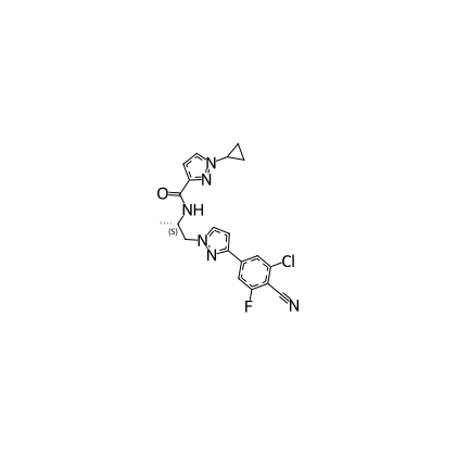 C[C@@H](Cn1ccc(-c2cc(F)c(C#N)c(Cl)c2)n1)NC(=O)c1ccn(C2CC2)n1